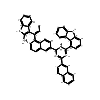 C/C=C(/c1cccc2cc(C3N=C(c4ccc5ccccc5c4)N=C(c4cccc5oc6ccccc6c45)N3)ccc12)c1c(N)oc2ccccc12